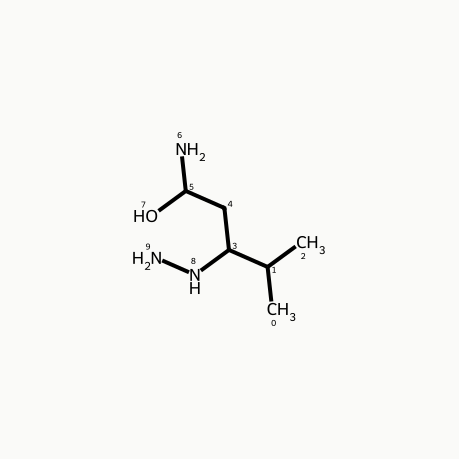 CC(C)C(CC(N)O)NN